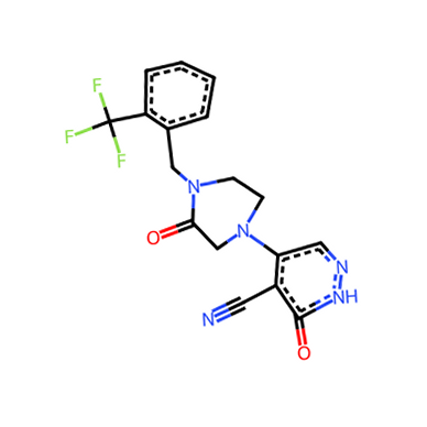 N#Cc1c(N2CCN(Cc3ccccc3C(F)(F)F)C(=O)C2)cn[nH]c1=O